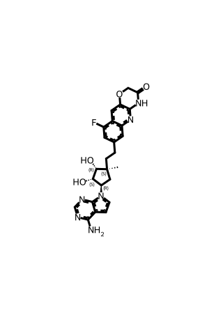 C[C@]1(CCc2cc(F)c3cc4c(nc3c2)NC(=O)CO4)C[C@@H](n2ccc3c(N)ncnc32)[C@H](O)[C@@H]1O